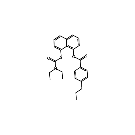 CCCc1ccc(C(=S)Oc2cccc3cccc(SC(=O)N(CC)CC)c23)cc1